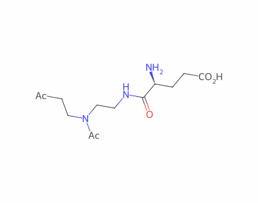 CC(=O)CCN(CCNC(=O)[C@@H](N)CCC(=O)O)C(C)=O